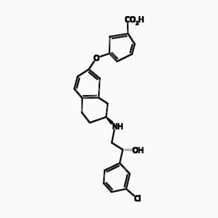 O=C(O)c1cccc(Oc2ccc3c(c2)C[C@@H](NC[C@H](O)c2cccc(Cl)c2)CC3)c1